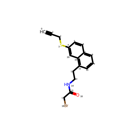 C#CCSc1ccc2cccc(CCNC(=O)CBr)c2c1